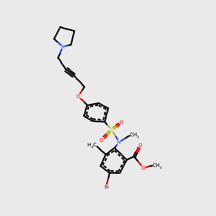 COC(=O)c1cc(Br)cc(C)c1N(C)S(=O)(=O)c1ccc(OCC#CCN2CCCC2)cc1